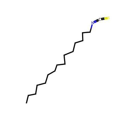 CCCCCCCCCCCCCCCN=C=S